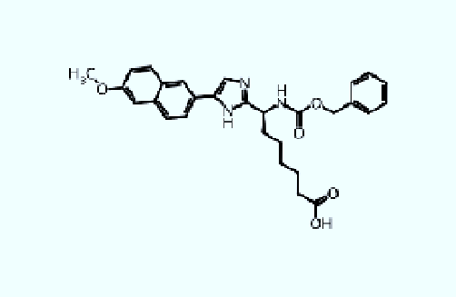 COc1ccc2cc(-c3cnc([C@H](CCCCCC(=O)O)NC(=O)OCc4ccccc4)[nH]3)ccc2c1